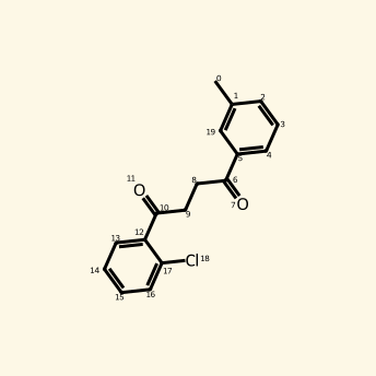 Cc1cccc(C(=O)CCC(=O)c2ccccc2Cl)c1